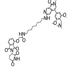 COc1cc(-c2cn(C)c(=O)c3cnc(NCCCCCCCCNC(=O)COc4cccc5c4C(=O)N(C4CCC(=O)NC4=O)C5=O)cc23)cc(OC)c1CN(C)C